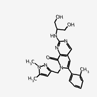 Cc1ccccc1-c1cc2cnc(NC(CO)CO)nc2c(=O)n1Cc1cc(C)n(C)n1